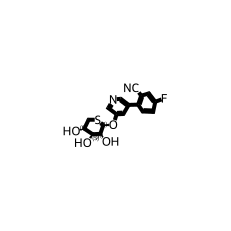 N#Cc1cc(F)ccc1-c1cncc(O[C@@H]2SC[C@@H](O)[C@H](O)[C@H]2O)c1